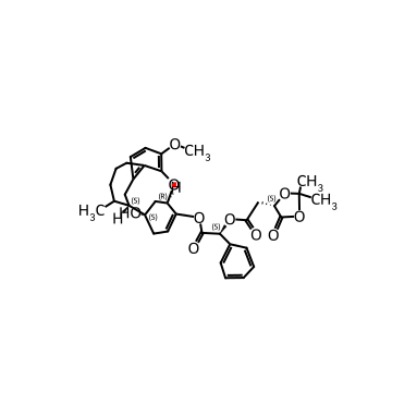 COc1ccc2c3c1O[C@@H]1C[C@@](O)(CC=C1OC(=O)[C@@H](OC(=O)C[C@@H]1OC(C)(C)OC1=O)c1ccccc1)[C@@H](C2)C(C)CCC3